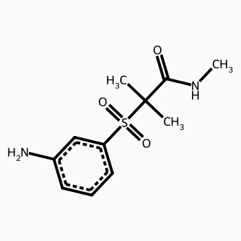 CNC(=O)C(C)(C)S(=O)(=O)c1cccc(N)c1